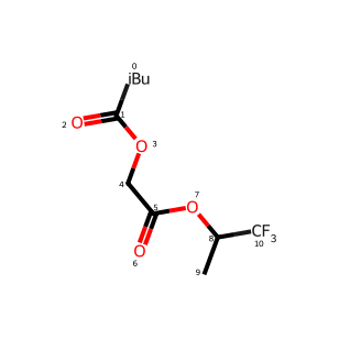 CCC(C)C(=O)OCC(=O)OC(C)C(F)(F)F